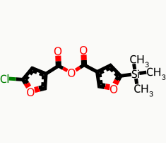 C[Si](C)(C)c1cc(C(=O)OC(=O)c2coc(Cl)c2)co1